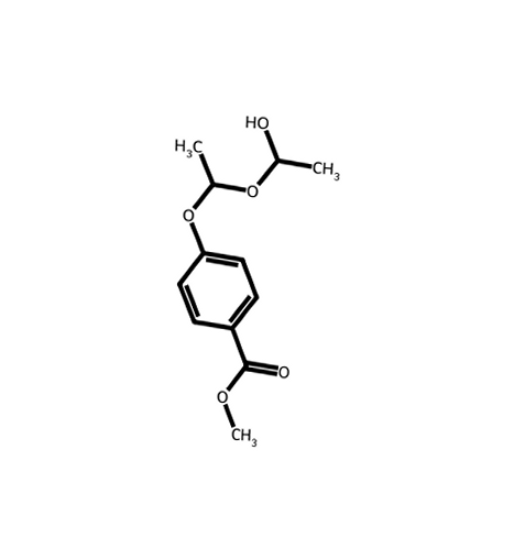 COC(=O)c1ccc(OC(C)OC(C)O)cc1